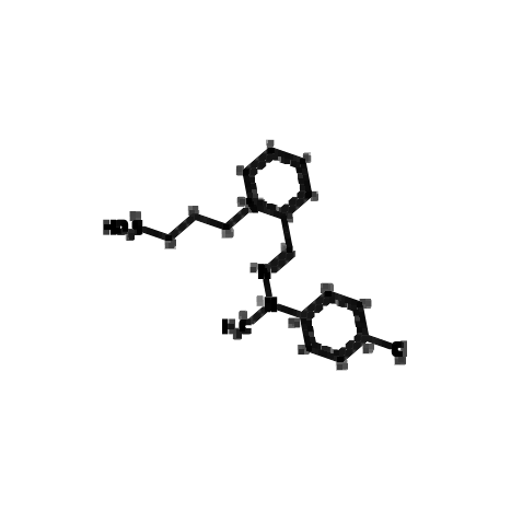 CN(N=Cc1cccc[n+]1CCCS(=O)(=O)O)c1ccc(Cl)cc1